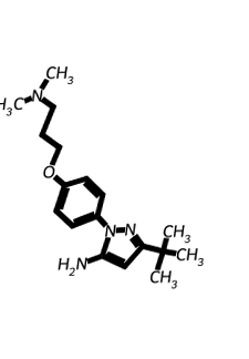 CN(C)CCCOc1ccc(-n2nc(C(C)(C)C)cc2N)cc1